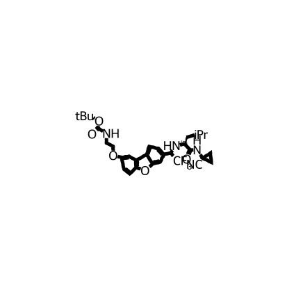 CC(C)C[C@H](NC(c1ccc2c(c1)oc1ccc(OCCNC(=O)OC(C)(C)C)cc12)C(F)(F)F)C(=O)NC1(C#N)CC1